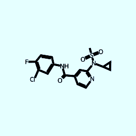 CS(=O)(=O)N(c1cc(C(=O)Nc2ccc(F)c(Cl)c2)ccn1)C1CC1